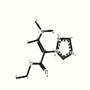 CCOC(=O)C(=C(C)N(C)C)n1cncn1